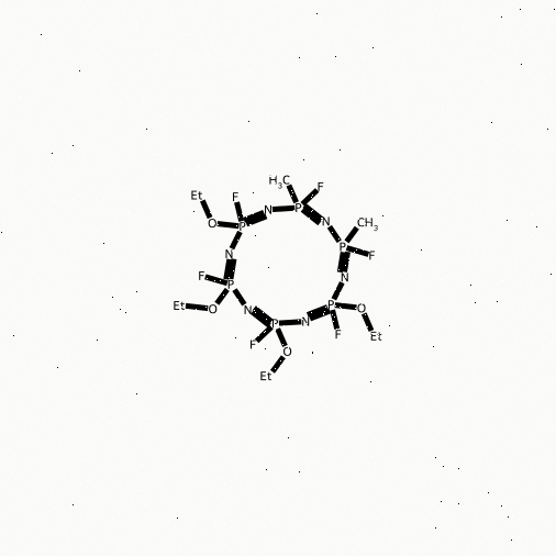 CCOP1(F)=NP(C)(F)=NP(C)(F)=NP(F)(OCC)=NP(F)(OCC)=NP(F)(OCC)=N1